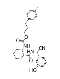 Cc1ccc(CCCOC(=O)NC2CCCCC2C(=O)NC(C#N)c2cccc(O)c2)cc1